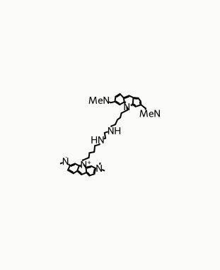 CNCc1ccc2cc3ccc(CNC)cc3[n+](CCCCCCNCCNCCCCCC[n+]3c4cc(N(C)C)ccc4cc4ccc(N(C)C)cc43)c2c1